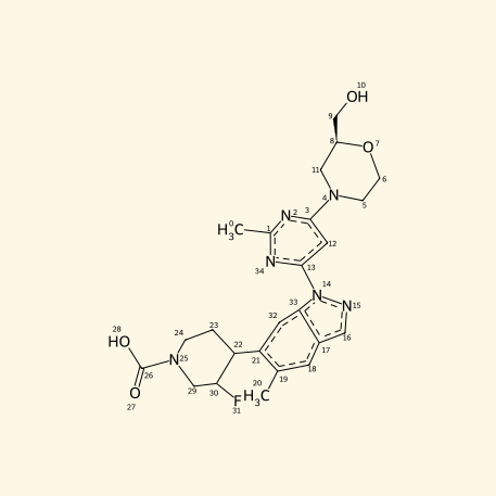 Cc1nc(N2CCO[C@H](CO)C2)cc(-n2ncc3cc(C)c(C4CCN(C(=O)O)CC4F)cc32)n1